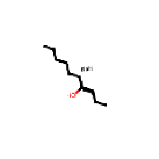 CCC=C(O)CCCCCC.[NaH]